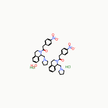 Cl.Cl.O.O=C(Cc1ccc([N+](=O)[O-])cc1)N1CCc2ccccc2C1CN1CCCC1.O=C(Cc1ccc([N+](=O)[O-])cc1)N1CCc2ccccc2C1CN1CCCC1